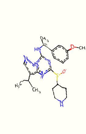 COc1cccc([C@H](C)Nc2nc([S+]([O-])C3CCNCC3)nc3c(C(C)C)cnn23)c1